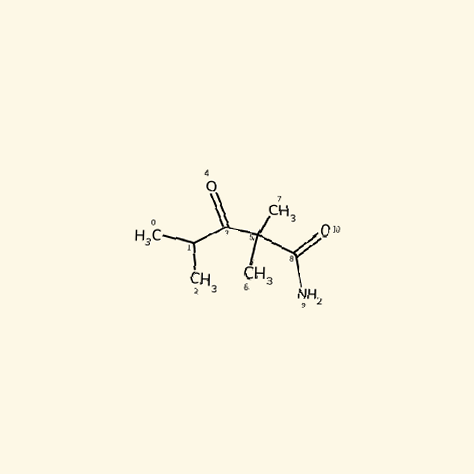 CC(C)C(=O)C(C)(C)C(N)=O